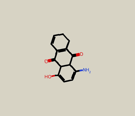 NC1=CC=C(O)C2C(=O)C3=C(CCC=C3)C(=O)C12